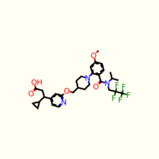 COc1ccc(C(=O)N(CC(F)(F)C(F)(F)F)C(C)C)c(N2CCC(COc3cc(C(CC(=O)O)C4CC4)ccn3)CC2)c1